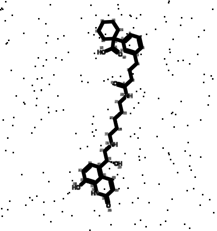 O=C(CCCc1cccc(C2(C(=O)O)CCCCC2)c1)NCCCCCNC[C@H](O)c1ccc(O)c2[nH]c(=O)ccc12